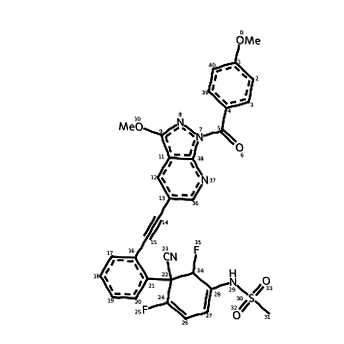 COc1ccc(C(=O)n2nc(OC)c3cc(C#Cc4ccccc4C4(C#N)C(F)=CC=C(NS(C)(=O)=O)C4F)cnc32)cc1